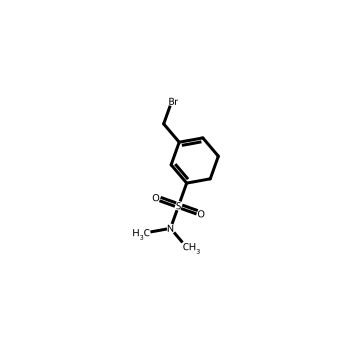 CN(C)S(=O)(=O)C1=CC(CBr)=CCC1